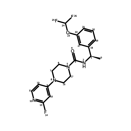 C[C@@H](NC(=O)N1CCN(c2ccnc(F)c2)CC1)c1cccc(OC(F)F)c1